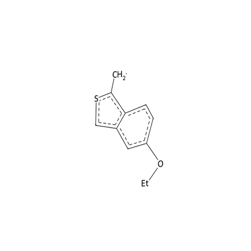 [CH2]c1scc2cc(OCC)ccc12